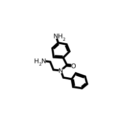 NCCN(Cc1ccccc1)C(=O)c1ccc(N)cc1